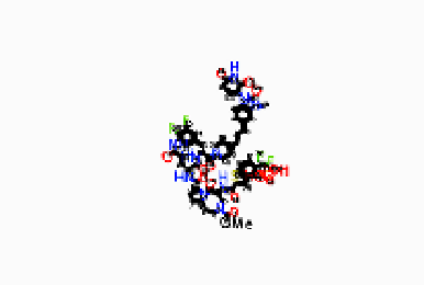 COC(=O)N1CCC2=CC[C@@H](C(=O)N[C@@H](CCC(N)=O)C(=O)N[C@@H](Cc3ccc(F)c(F)c3)C(=O)N3CCC(CCCc4ccc5c(c4)n(C)c(=O)n5C4CCC(=O)NC4=O)CC3)N2C(=O)[C@@H](NC(=O)c2cc3cc(C(F)(F)P(=O)(O)O)ccc3s2)C1